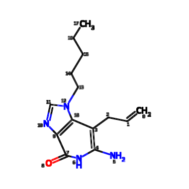 C=CCc1c(N)[nH]c(=O)c2ncn(CCCCC)c12